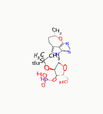 C[C@H]1CCc2cn([C@@H]3O[C@H](CO)[C@@H](O[PH](=O)O)[C@H]3O[Si](C)(C)C(C)(C)C)c3ncnc(c23)O1